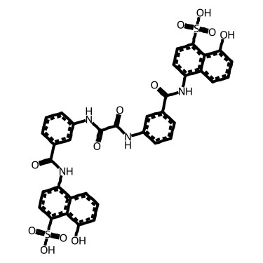 O=C(Nc1cccc(C(=O)Nc2ccc(S(=O)(=O)O)c3c(O)cccc23)c1)C(=O)Nc1cccc(C(=O)Nc2ccc(S(=O)(=O)O)c3c(O)cccc23)c1